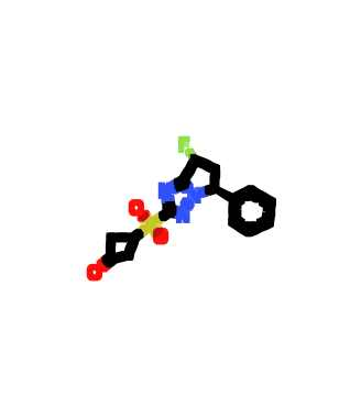 O=C1CC(S(=O)(=O)c2nc3n(n2)[C@H](c2ccccc2)C[C@@H]3F)C1